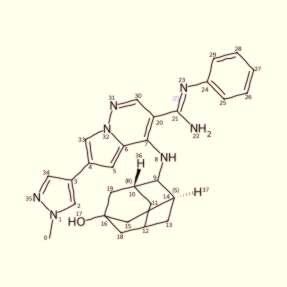 Cn1cc(-c2cc3c(NC4[C@@H]5CC6C[C@H]4CC(O)(C6)C5)c(/C(N)=N/c4ccccc4)cnn3c2)cn1